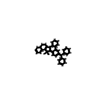 CC1(C)c2c(ccc3ccccc23)-c2c1c1ccc(N(c3ccccc3)c3ccccc3)cc1c1ccccc21